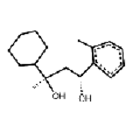 C[C@@](O)(C[C@@H](O)c1ccccc1I)C1CCCCC1